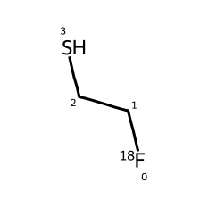 [18F]CCS